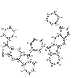 c1ccc(-n2ccc3cc4c5ccccc5n(-c5cccc(-n6c7ccccc7c7cc8ccn(-c9ccccc9)c8cc76)c5)c4cc32)cc1